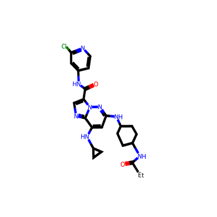 CCC(=O)NC1CCC(Nc2cc(NC3CC3)c3ncc(C(=O)Nc4ccnc(Cl)c4)n3n2)CC1